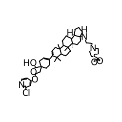 CC1(C)C(C2=CCC(CCOc3ccnc(Cl)c3)(C(=O)O)CC2)=CCC2(C)C1CCC1(C)C2CCC2[C@H]3CCCC3(NCCN3CCS(=O)(=O)CC3)CC[C@]21C